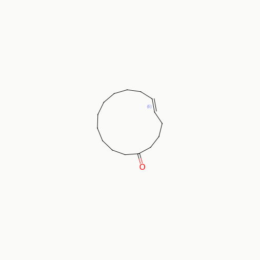 O=C1CCC/C=C/CCCCCCCCC1